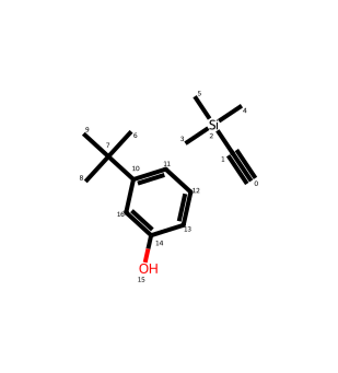 C#C[Si](C)(C)C.CC(C)(C)c1cccc(O)c1